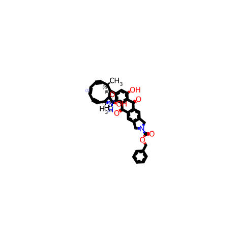 C[C@@H]1C#C/C=C\C#C[C@@H]2Nc3c(cc(O)c4c3C(=O)c3cc5c(cc3C4=O)CN(C(=O)OCc3ccccc3)C5)[C@]13O[C@@]23[C@@H](C)O